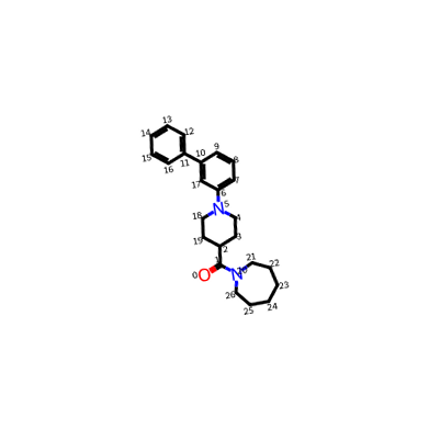 O=C(C1CCN(c2cccc(-c3ccccc3)c2)CC1)N1CCCCCC1